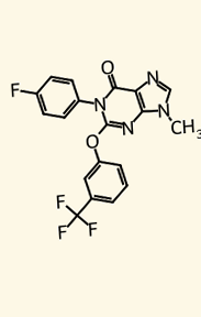 Cn1cnc2c(=O)n(-c3ccc(F)cc3)c(Oc3cccc(C(F)(F)F)c3)nc21